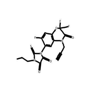 C#CCN1C(=O)C(F)(F)Oc2cc(F)c(N3C(=O)C(=O)N(CCC)C3=S)cc21